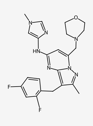 Cc1nn2c(CN3CCOCC3)cc(Nc3cn(C)cn3)nc2c1Cc1ccc(F)cc1F